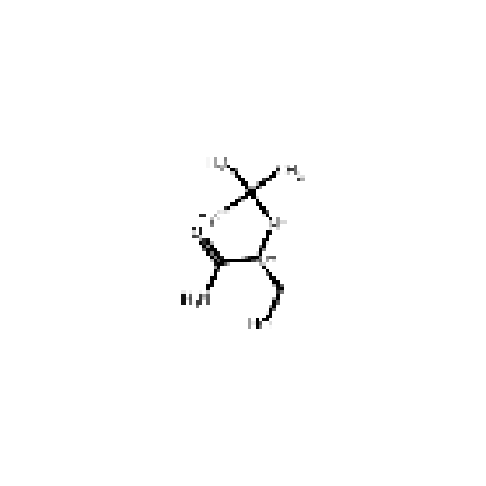 CC(C)(C)N[C@@H](CO)C(N)=O